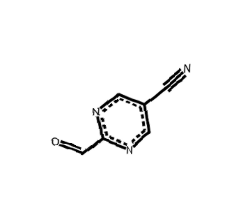 N#Cc1cnc(C=O)nc1